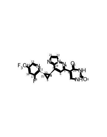 O=c1[nH]cc(-c2cc([C@H]3C[C@@H]3c3ncc(C(F)(F)F)cc3F)c3nccn3n2)c(=O)[nH]1